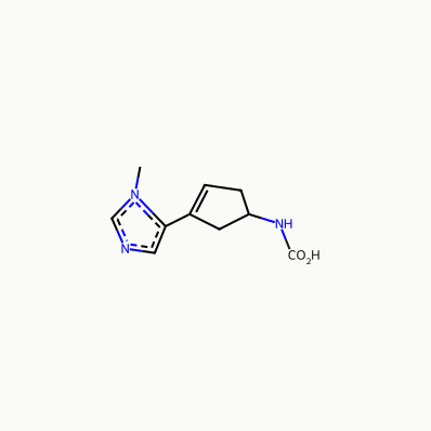 Cn1cncc1C1=CCC(NC(=O)O)C1